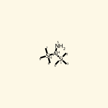 C[Si](C)(C)[Al]([NH2])[Si](C)(C)C